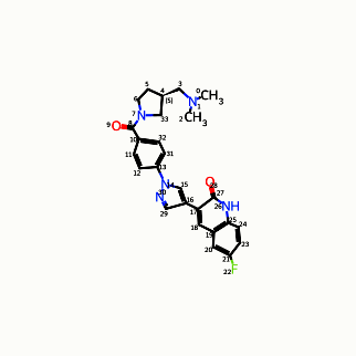 CN(C)C[C@@H]1CCN(C(=O)c2ccc(-n3cc(-c4cc5cc(F)ccc5[nH]c4=O)cn3)cc2)C1